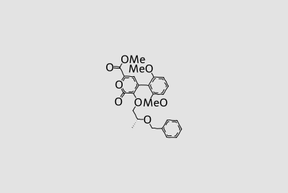 COC(=O)c1cc(-c2c(OC)cccc2OC)c(OC[C@@H](C)OCc2ccccc2)c(=O)o1